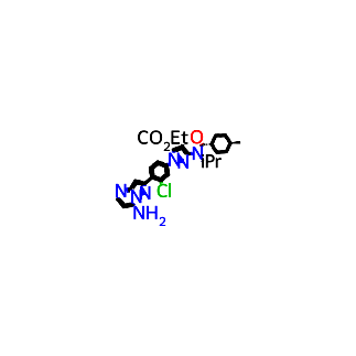 CCOC(=O)c1cn(-c2ccc(-c3cc4nccc(N)n4n3)c(Cl)c2)nc1N(C(=O)[C@H]1CC[C@H](C)CC1)C(C)C